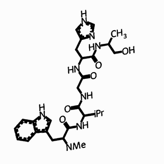 CNC(Cc1c[nH]c2ccccc12)C(=O)NC(C(=O)NCC(=O)NC(Cc1c[nH]cn1)C(=O)NC(C)CO)C(C)C